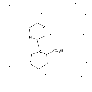 CCOC(=O)C1CCCCN1C1CCCC[N]1